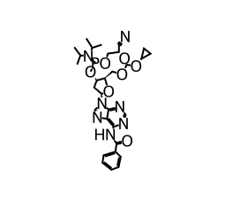 CC(C)N(C(C)C)P(OCCC#N)O[C@H]1C[C@H](n2cnc3c(NC(=O)c4ccccc4)ncnc32)O[C@@H]1COC(=O)OC1CC1